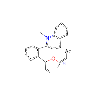 C=CC(O/C(C)=C\C(C)=O)c1ccccc1-c1ccc2ccccc2[n+]1C